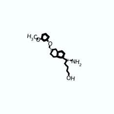 COc1cccc(OC[C@H]2CCc3cc([C@H](CN)CCCCO)ccc3C2)c1